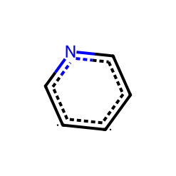 [c]1[c]cncc1